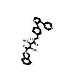 O=C(NCc1ccc(-c2sccc2-c2ccncc2)cc1)C(O)C(O)C(=O)N1Cc2ccccc2C1